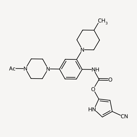 CC(=O)N1CCN(c2ccc(NC(=O)Oc3cc(C#N)c[nH]3)c(N3CCC(C)CC3)c2)CC1